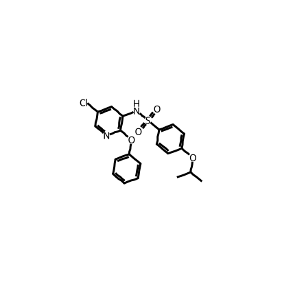 CC(C)Oc1ccc(S(=O)(=O)Nc2cc(Cl)cnc2Oc2ccccc2)cc1